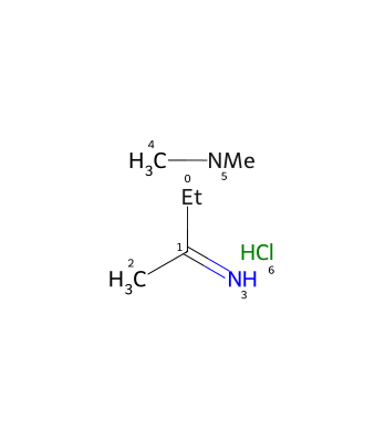 CCC(C)=N.CNC.Cl